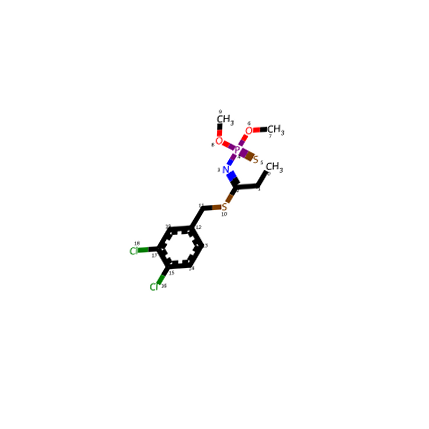 CCC(=NP(=S)(OC)OC)SCc1ccc(Cl)c(Cl)c1